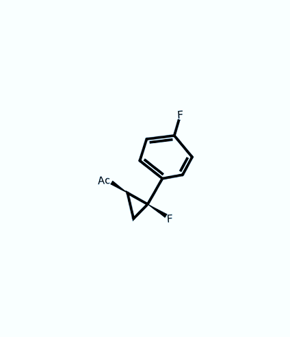 CC(=O)[C@@H]1C[C@@]1(F)c1ccc(F)cc1